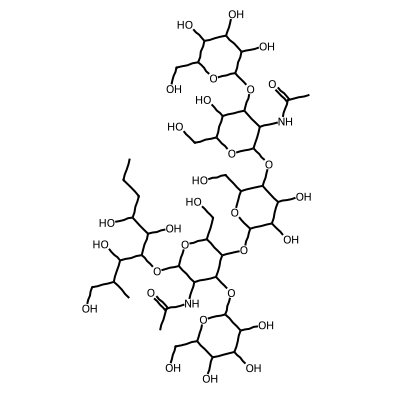 CCCC(O)C(O)C(OC1OC(CO)C(OC2OC(CO)C(OC3OC(CO)C(O)C(OC4OC(CO)C(O)C(O)C4O)C3NC(C)=O)C(O)C2O)C(OC2OC(CO)C(O)C(O)C2O)C1NC(C)=O)C(O)C(C)CO